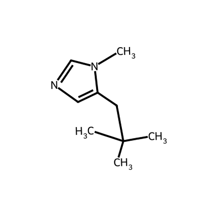 Cn1cncc1CC(C)(C)C